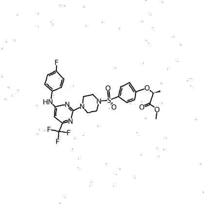 COC(=O)[C@H](C)Oc1ccc(S(=O)(=O)N2CCN(c3nc(Nc4ccc(F)cc4)cc(C(F)(F)F)n3)CC2)cc1